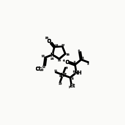 C=C(C)C(=O)NC(CC)[N+](C)(C)C.C=CN1CCCC1=O.[Cl-]